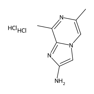 Cc1cn2cc(N)nc2c(C)n1.Cl.Cl